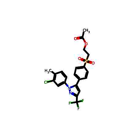 CC(=O)OCCS(=O)(=O)c1ccc(-c2cc(C(F)(F)F)nn2-c2ccc(C)c(Cl)c2)cc1